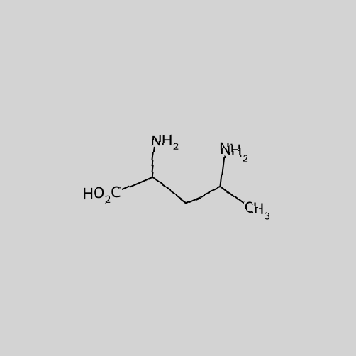 CC(N)CC(N)C(=O)O